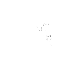 COc1oc(C)nc1CCc1nc(C)c(C)s1